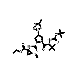 C=C[C@@H]1C[C@]1(NC(=O)[C@@H]1C[C@@H](n2nnc(C)n2)CN1C(=O)[C@@H](NC(=O)OC(C)(C)C)C(C)(C)C)C(=O)OCC